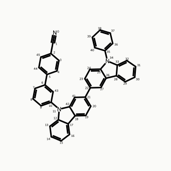 N#Cc1ccc(-c2cccc(-n3c4ccccc4c4ccc(-c5ccc6c(c5)c5ccccc5n6-c5ccccc5)cc43)c2)cc1